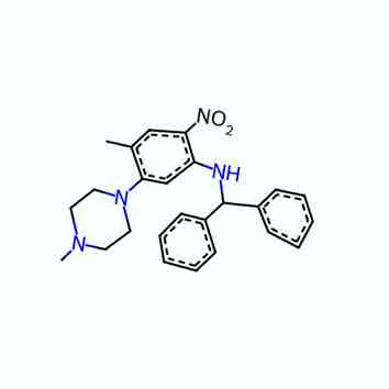 Cc1cc([N+](=O)[O-])c(NC(c2ccccc2)c2ccccc2)cc1N1CCN(C)CC1